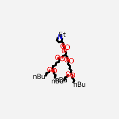 CCCC/C=C/COC(CCCCC(=O)OCC(COC(=O)CCCCC(OC/C=C/CCCC)OC/C=C/CCCC)COC(=O)OCC1CCCN(CC)C1)OC/C=C/CCCC